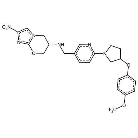 O=[N+]([O-])c1cn2c(n1)OC[C@@H](NCc1ccc(N3CCC(Oc4ccc(OC(F)(F)F)cc4)C3)nc1)C2